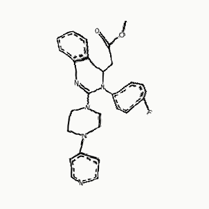 COC(=O)CC1c2ccccc2N=C(N2CCN(c3ccncc3)CC2)N1c1ccc(F)cc1